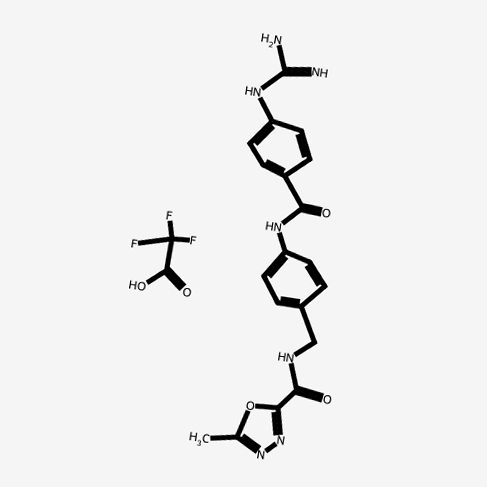 Cc1nnc(C(=O)NCc2ccc(NC(=O)c3ccc(NC(=N)N)cc3)cc2)o1.O=C(O)C(F)(F)F